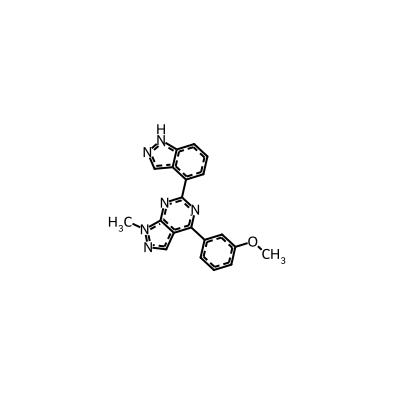 COc1cccc(-c2nc(-c3cccc4[nH]ncc34)nc3c2cnn3C)c1